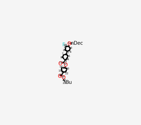 CCCCCCCCCCOc1ccc(-c2ccc(C(=O)Oc3ccc(C(=O)OCC(C)CC)cc3)cc2)cc1F